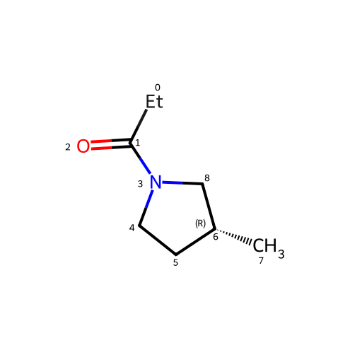 CCC(=O)N1CC[C@@H](C)C1